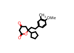 COc1ccc(CCC2(C3CCCC3)CC(=O)CC(=O)O2)cc1C